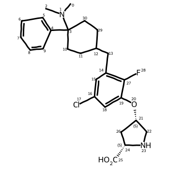 CN(C)C1(c2ccccc2)CCC(Cc2cc(Cl)cc(O[C@@H]3CN[C@H](C(=O)O)C3)c2F)CC1